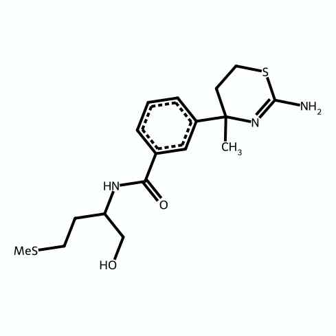 CSCCC(CO)NC(=O)c1cccc(C2(C)CCSC(N)=N2)c1